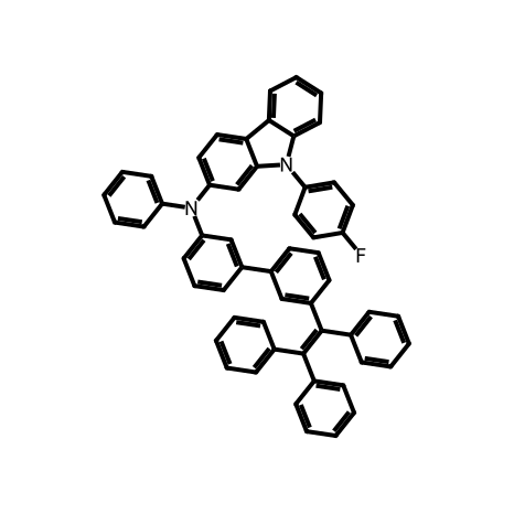 Fc1ccc(-n2c3ccccc3c3ccc(N(c4ccccc4)c4cccc(-c5cccc(C(=C(c6ccccc6)c6ccccc6)c6ccccc6)c5)c4)cc32)cc1